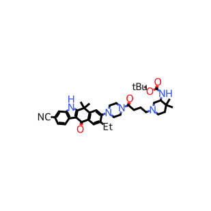 CCc1cc2c(cc1N1CCN(C(=O)CCCN3CCC(C)(C)C(NC(=O)OC(C)(C)C)C3)CC1)C(C)(C)c1[nH]c3cc(C#N)ccc3c1C2=O